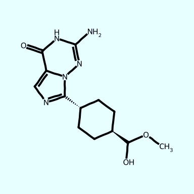 COC(O)[C@H]1CC[C@H](c2ncc3c(=O)[nH]c(N)nn32)CC1